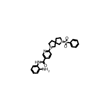 Nc1ccccc1NC(=O)c1ccc(N2CCC3(CCN(S(=O)(=O)c4ccccc4)C3)C2)nc1